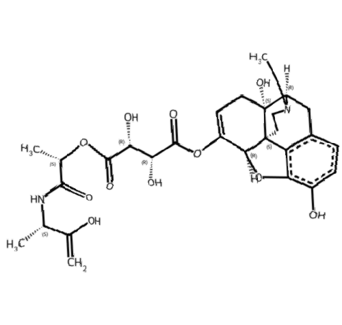 C=C(O)[C@H](C)NC(=O)[C@H](C)OC(=O)[C@H](O)[C@@H](O)C(=O)OC1=CC[C@@]2(O)[C@H]3Cc4ccc(O)c5c4[C@@]2(CCN3C)[C@H]1O5